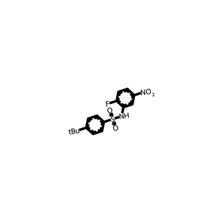 CC(C)(C)c1ccc(S(=O)(=O)Nc2cc([N+](=O)[O-])ccc2F)cc1